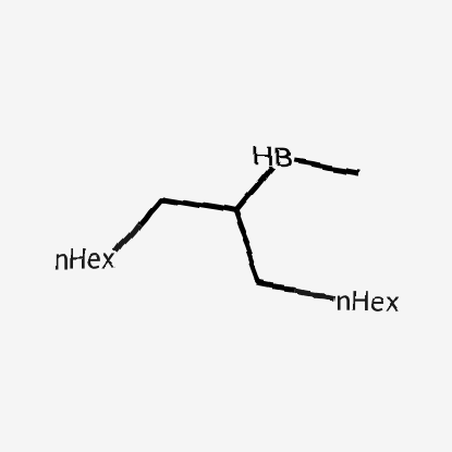 CBC(CCCCCCC)CCCCCCC